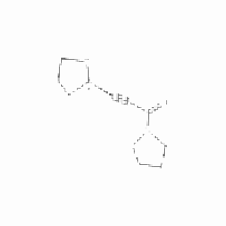 O=C(C#C[C@H]1CCCO1)N1CCCC1